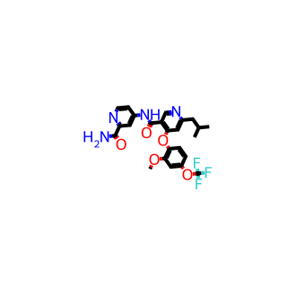 COc1cc(OC(F)(F)F)ccc1Oc1cc(CC(C)C)ncc1C(=O)Nc1ccnc(C(N)=O)c1